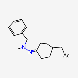 CC(=O)CC1CCC(=NN(C)Cc2ccccc2)CC1